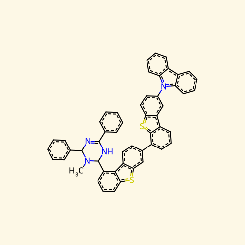 CN1C(c2ccccc2)N=C(c2ccccc2)NC1c1cccc2sc3cc(-c4cccc5c4sc4ccc(-n6c7ccccc7c7ccccc76)cc45)ccc3c12